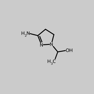 CC(O)N1CCC(N)=N1